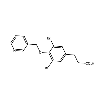 O=C(O)CCc1cc(Br)c(OCc2cccnc2)c(Br)c1